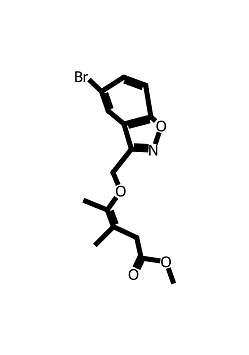 COC(=O)C/C(C)=C(/C)OCc1noc2ccc(Br)cc12